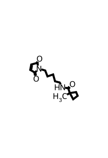 CC1(C(=O)NCCCCCN2C(=O)C=CC2=O)CCC1